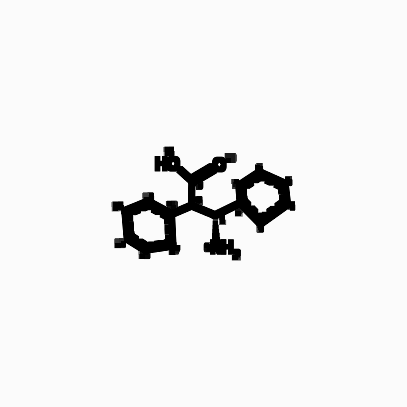 N[C@@H](c1ccccc1)C(C(=O)O)c1ccccc1